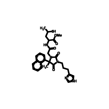 COC(=O)C(CC(C)S)NC(=O)CN1C(=O)N(CCCc2c[nH]cn2)C(=O)C1(C)c1cccc2ccccc12